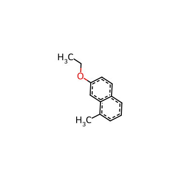 CCOc1ccc2cccc(C)c2c1